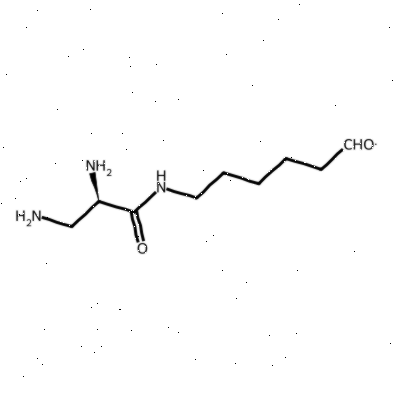 NC[C@@H](N)C(=O)NCCCCC[C]=O